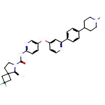 C=C1N(C(=O)Nc2ccc(Oc3ccnc(-c4ccc(C5CCN(C)CC5)cc4)c3)cn2)CCC12CC(F)(F)C2